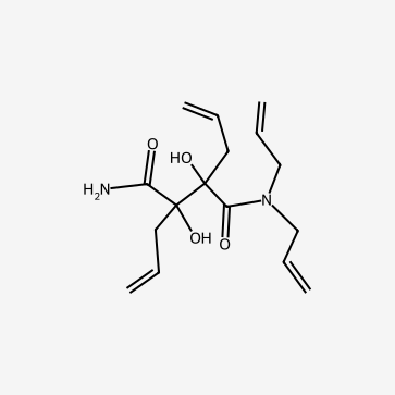 C=CCN(CC=C)C(=O)C(O)(CC=C)C(O)(CC=C)C(N)=O